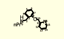 CCCNCc1ccccc1OCc1ccccn1